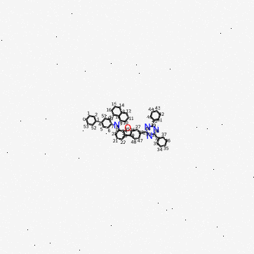 c1ccc(-c2ccc(N(c3cccc4ccccc34)c3cccc4c3oc3cc(-c5nc(-c6ccccc6)nc(-c6ccccc6)n5)ccc34)cc2)cc1